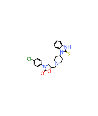 O=C1OC(CN2CCC(n3c(=S)[nH]c4ccccc43)CC2)CN1c1ccc(Cl)cc1